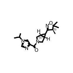 CC(C)n1cnc(C(=O)N2C[C@@H]3C(C4=NOC(C)(C)[C@H]4C)[C@@H]3C2)c1